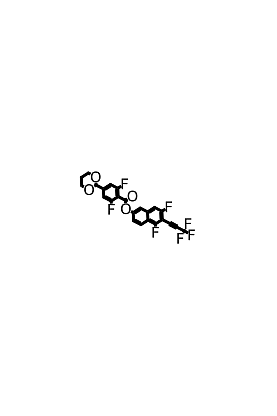 O=C(Oc1ccc2c(F)c(C#CC(F)(F)F)c(F)cc2c1)c1c(F)cc(C2OCCCO2)cc1F